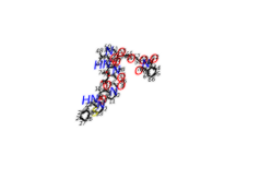 CC[C@H](C)C([C@@H](CC(=O)N1CCC[C@H]1[C@H](OC)[C@@H](C)C(=O)N[C@@H](Cc1ccccc1)c1nccs1)OC)N(C)C(=O)[C@@H](NC(=O)[C@H](C(C)C)N(C)CCOCCOCCON1C(=O)c2ccccc2C1=O)C(C)C